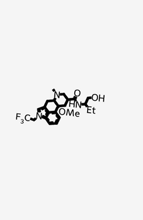 CCC(CO)NC(=O)C1CN(C)C2Cc3cn(CC(F)(F)F)c4cccc(c34)C2(OC)C1